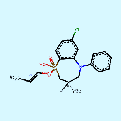 CCCC[C@@]1(CC)CN(c2ccccc2)c2cc(Cl)ccc2S(=O)(O)(O/C=C/C(=O)O)C1